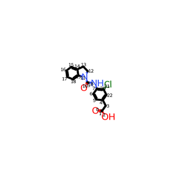 O=C(O)Cc1ccc(NC(=O)N2CCc3ccccc32)c(Cl)c1